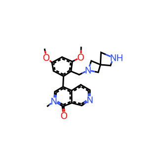 COc1cc(OC)c(CN2CC3(CNC3)C2)c(-c2cn(C)c(=O)c3cnccc23)c1